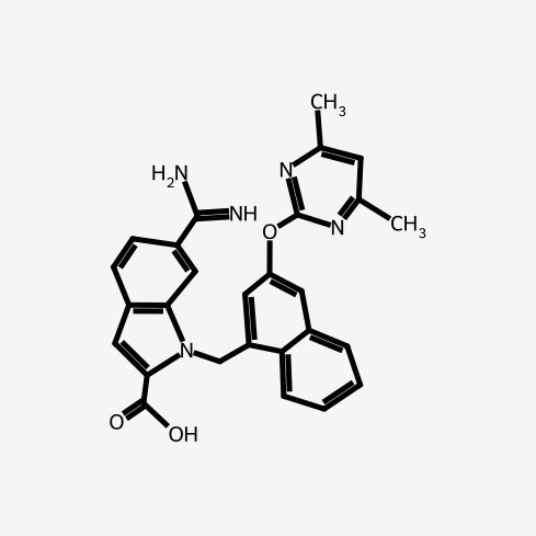 Cc1cc(C)nc(Oc2cc(Cn3c(C(=O)O)cc4ccc(C(=N)N)cc43)c3ccccc3c2)n1